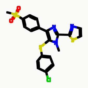 Cn1c(-c2nccs2)nc(-c2ccc(S(C)(=O)=O)cc2)c1Sc1ccc(Cl)cc1